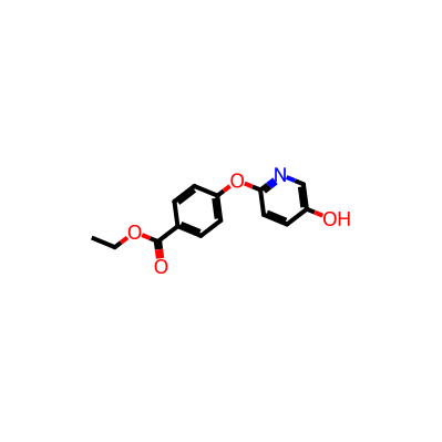 CCOC(=O)c1ccc(Oc2ccc(O)cn2)cc1